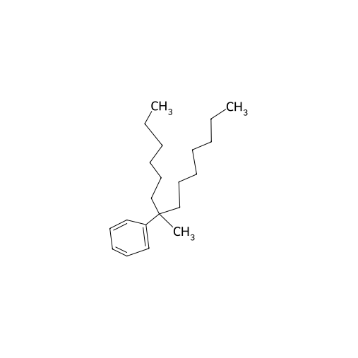 CCCCCCCC(C)(CCCCCC)c1ccccc1